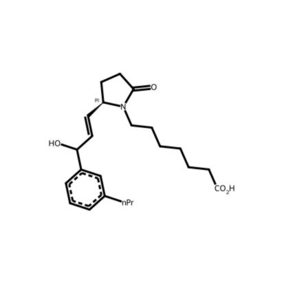 CCCc1cccc(C(O)C=C[C@H]2CCC(=O)N2CCCCCCC(=O)O)c1